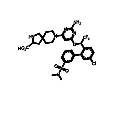 CN(C)S(=O)(=O)c1cccc(-c2cc(Cl)ccc2C(Oc2cc(N3CCC4(CC3)CNC(C(=O)O)C4)nc(N)n2)C(F)(F)F)c1